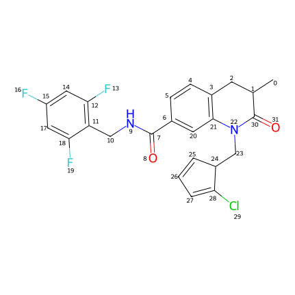 CC1Cc2ccc(C(=O)NCc3c(F)cc(F)cc3F)cc2N(CC2C=CC=C2Cl)C1=O